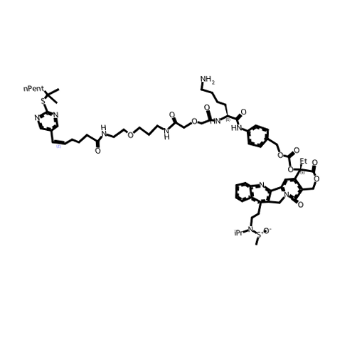 CCCCCC(C)(C)Sc1ncc(/C=C\CCCC(=O)NCCOCCCNC(=O)COCC(=O)N[C@@H](CCCCN)C(=O)Nc2ccc(COC(=O)O[C@]3(CC)C(=O)OCc4c3cc3n(c4=O)Cc4c-3nc3ccccc3c4CCN(C(C)C)[S+](C)[O-])cc2)cn1